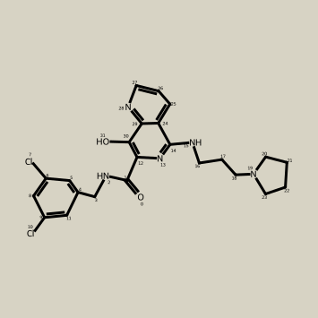 O=C(NCc1cc(Cl)cc(Cl)c1)c1nc(NCCCN2CCCC2)c2cccnc2c1O